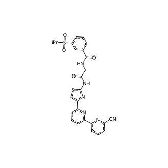 CC(C)S(=O)(=O)c1cccc(C(=O)NCC(=O)Nc2nc(-c3cccc(-c4cccc(C#N)n4)n3)cs2)c1